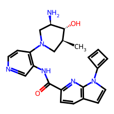 C[C@H]1CN(c2ccncc2NC(=O)c2ccc3ccn(C4=CC=C4)c3n2)C[C@@H](N)[C@@H]1O